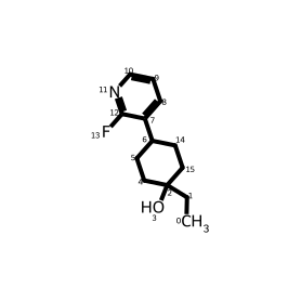 CCC1(O)CCC(c2cccnc2F)CC1